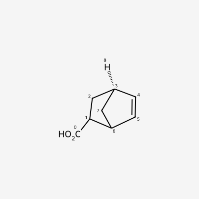 O=C(O)C1C[C@H]2C=CC1C2